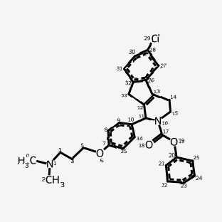 CN(C)CCCOc1ccc(C2C3=C(CCN2C(=O)Oc2ccccc2)c2cc(Cl)ccc2C3)cc1